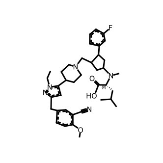 CCn1nc(Cc2ccc(OC)c(C#N)c2)cc1C1CCN(CC2CC(N(C)[C@H](CC(C)C)C(=O)O)CC2c2cccc(F)c2)CC1